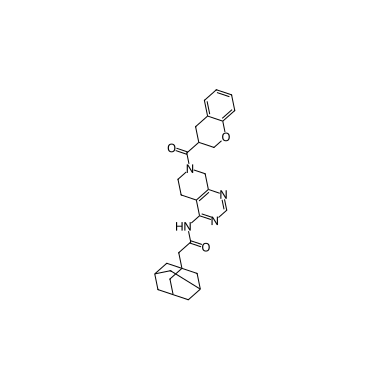 O=C(CC12CC3CC(CC(C3)C1)C2)Nc1ncnc2c1CCN(C(=O)C1COc3ccccc3C1)C2